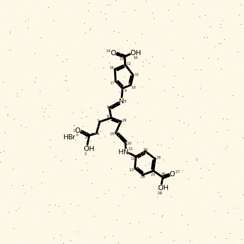 Br.O=C(O)CCC(C=Nc1ccc(C(=O)O)cc1)=CC=CNc1ccc(C(=O)O)cc1